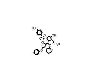 Cc1ccc(S(=O)(=O)O[C@@H]2C[C@@H](O)[C@@H](CC(=O)O)[C@@H]2C(OC2CCCCO2)=C(Cl)CCOc2ccccc2)cc1